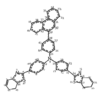 C1=Cc2nc(-c3ccc(N(c4ccc(-c5nc6c(s5)CCC=C6)cc4)c4ccc(-c5cc6ccccc6c6ccccc56)cc4)cc3)sc2CC1